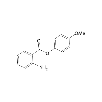 COc1ccc(OC(=O)c2ccccc2N)cc1